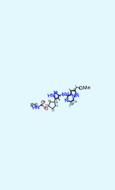 COCc1cc2c(Nc3cc(C4CCC(OC(=O)NC(C)C)C4)[nH]n3)nc(F)cn2n1